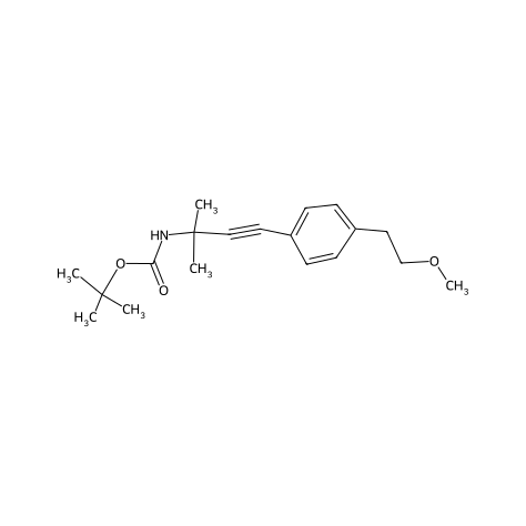 COCCc1ccc(C#CC(C)(C)NC(=O)OC(C)(C)C)cc1